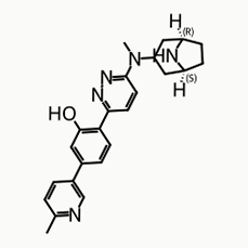 Cc1ccc(-c2ccc(-c3ccc(N(C)C4C[C@H]5CC[C@@H](C4)N5)nn3)c(O)c2)cn1